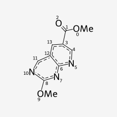 COC(=O)c1cnc2nc(OC)ncc2c1